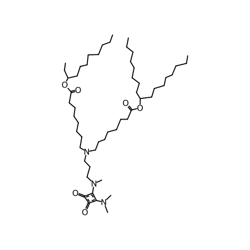 CCCCCCCCC(CC)OC(=O)CCCCCCCN(CCCCCCCC(=O)OC(CCCCCCCC)CCCCCCCC)CCCN(C)c1c(N(C)C)c(=O)c1=O